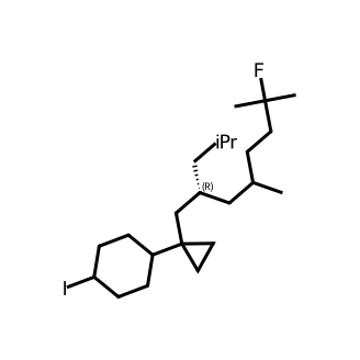 CC(C)C[C@H](CC(C)CCC(C)(C)F)CC1(C2CCC(I)CC2)CC1